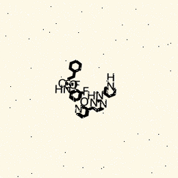 O=S(=O)(CCC1CCCCC1)Nc1ccc(Oc2ncccc2-c2ccnc(N[C@H]3CCCNC3)n2)c(F)c1F